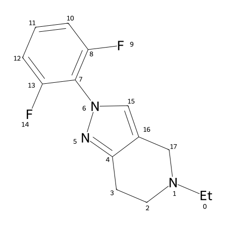 CCN1CCc2nn(-c3c(F)cccc3F)cc2C1